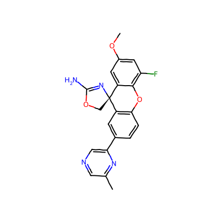 COc1cc(F)c2c(c1)[C@]1(COC(N)=N1)c1cc(-c3cncc(C)n3)ccc1O2